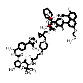 C#Cc1c(F)ccc2cc(OCOC)cc(-c3ncc4c(N5CC6CCC(C5)N6C(=O)OC(C)(C)C)nc(OCC5(CN6CCC(OCCC(=O)N[C@H](C(=O)N7C[C@H](O)C[C@H]7C(=O)N[C@@H](C)c7ccc(-c8scnc8C)cc7)C(C)(C)C)CC6)CC5)nc4c3F)c12